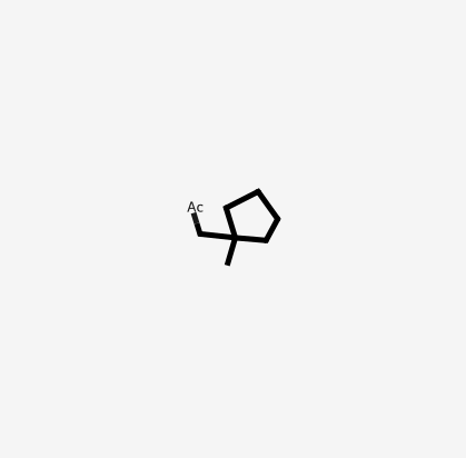 CC(=O)CC1(C)CCCC1